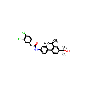 C=C(C)c1cc(C(O)(C(F)(F)F)C(F)(F)F)ccc1-c1ccc(NC(=O)Cc2ccc(Cl)c(Cl)c2)cc1